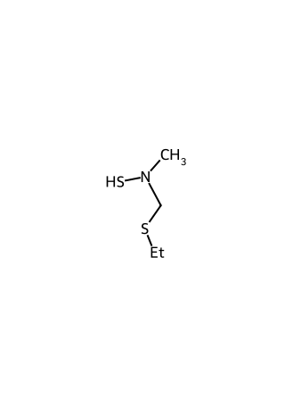 CCSCN(C)S